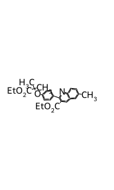 CCOC(=O)c1cc2cc(C)ccc2nc1-c1ccc(OC(C)(C)C(=O)OCC)cc1